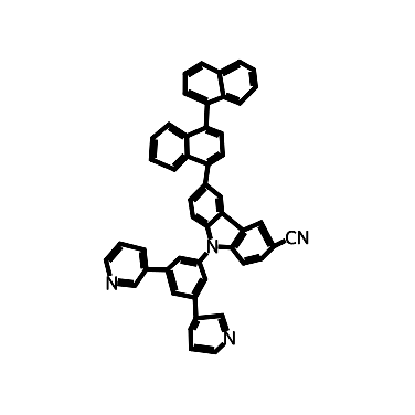 N#Cc1ccc2c(c1)c1cc(-c3ccc(-c4cccc5ccccc45)c4ccccc34)ccc1n2-c1cc(-c2cccnc2)cc(-c2cccnc2)c1